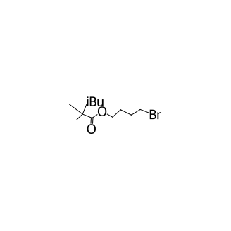 CCC(C)C(C)(C)C(=O)OCCCCBr